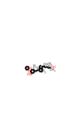 C=C1/C(=C\C=C2/CCC[C@]3(C)[C@@H]([C@H](C)CCCC(C)(C)O)CC[C@@H]23)C[C@@H](O)[C@@H](OC2CCCCC2)[C@@H]1O